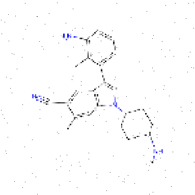 CNC1CCC(n2cc(-c3cccc(N)c3C)c3cc(C#N)c(C)cc32)CC1